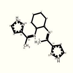 CC(=NC1CCCCC1N=C(C)c1cc[nH]n1)c1cc[nH]n1